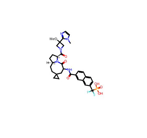 COC1(c2nccn2C)CN(C(=O)[C@@H]2CC[C@@H]3CCC4(CC4)CC(NC(=O)c4ccc5ccc(C(F)(F)P(=O)(O)O)cc5c4)C(=O)N32)C1